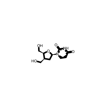 O=c1ccn([C@H]2C[C@@H](CO)[C@@H](CO)O2)c(=O)[nH]1